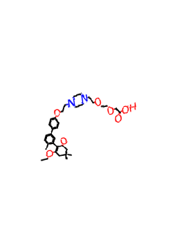 CCOC1=C(c2cc(-c3ccc(OCCN4CCN(CCOCCOCC(=O)O)CC4)cc3)ccc2C)C(=O)CC(C)(C)C1